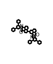 O=c1c2cccc3cc(-c4ccc5c(=O)n6c7cc(-c8ccccc8)cc(-c8ccccc8)c7nc6c6cccc4c56)cc(c32)c2nc3c(-c4ccccc4)cc(-c4ccccc4)cc3n12